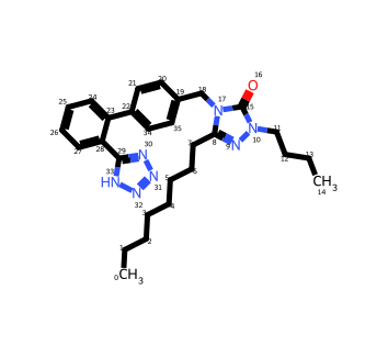 CCCCCCCCc1nn(CCCC)c(=O)n1Cc1ccc(-c2ccccc2-c2nnn[nH]2)cc1